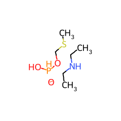 CCNCC.CSCO[PH](=O)O